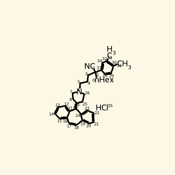 CCCCCCC(C#N)(CCCN1CCC(=C2c3ccccc3C=Cc3ccccc32)CC1)c1ccc(C)c(C)c1.Cl